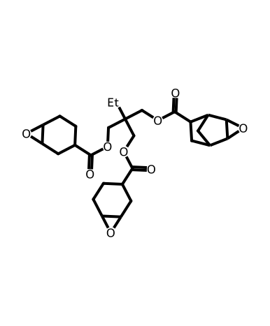 CCC(COC(=O)C1CCC2OC2C1)(COC(=O)C1CCC2OC2C1)COC(=O)C1CC2CC1C1OC21